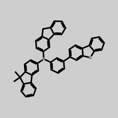 CC1(C)c2ccccc2-c2cc(N(c3cccc(-c4ccc5c(c4)oc4ccccc45)c3)c3ccc4c(c3)-c3ccccc3C4)ccc21